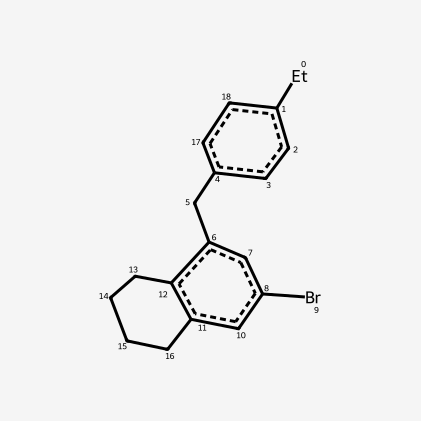 CCc1ccc(Cc2cc(Br)cc3c2CCCC3)cc1